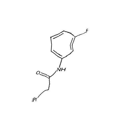 CC(C)CC(=O)Nc1cccc(F)c1